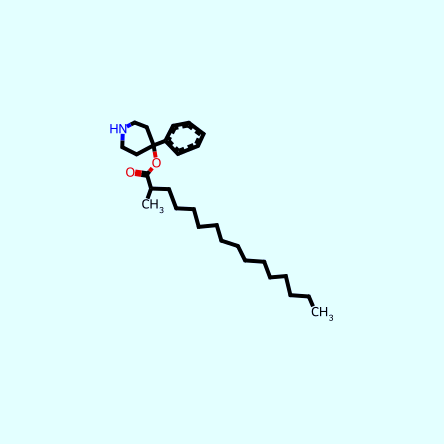 CCCCCCCCCCCCCCC(C)C(=O)OC1(c2ccccc2)CCNCC1